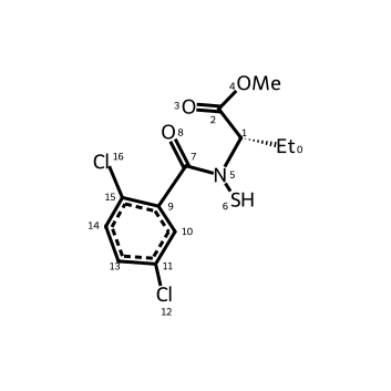 CC[C@@H](C(=O)OC)N(S)C(=O)c1cc(Cl)ccc1Cl